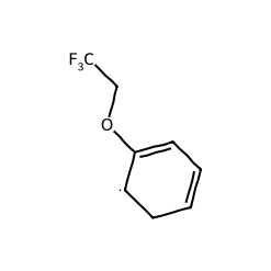 FC(F)(F)COC1=CC=CC[CH]1